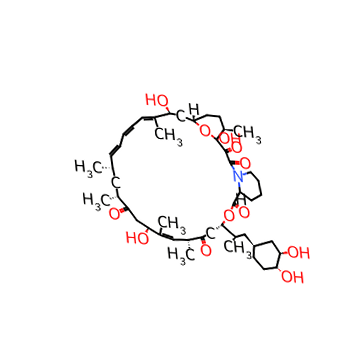 C/C1=C\[C@@H](C)C(=O)C[C@@H]([C@H](C)C[C@@H]2CC[C@@H](O)[C@H](O)C2)OC(=O)[C@@H]2CCCCN2C(=O)C(=O)[C@]2(O)O[C@@H](CC[C@H]2C)C[C@H](O)/C(C)=C/C=C/C=C/[C@@H](C)C[C@@H](C)C(=O)C[C@@H]1O